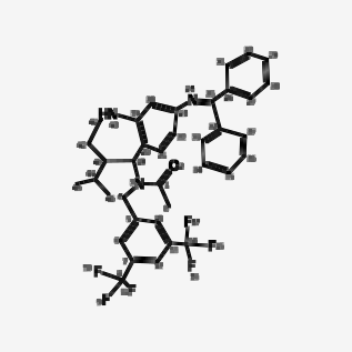 CC(=O)N(Cc1cc(C(F)(F)F)cc(C(F)(F)F)c1)C1c2ccc(N=C(c3ccccc3)c3ccccc3)cc2NCCC1C(C)C